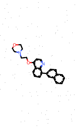 c1ccc2cc(-c3cccc4c(OCCN5CCOCC5)ccnc34)ccc2c1